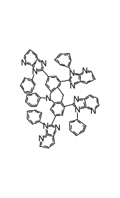 c1ccc(N2c3cc(-c4nc5cccnc5n4-c4ccccc4)cc(-c4nc5cccnc5n4-c4ccccc4)c3Cc3c(-c4nc5cccnc5n4-c4ccccc4)cc(-c4nc5cccnc5n4-c4ccccc4)cc32)cc1